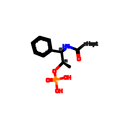 CCCCCCCC(=O)N[C@H](c1ccccc1)[C@@H](C)OP(=O)(O)O